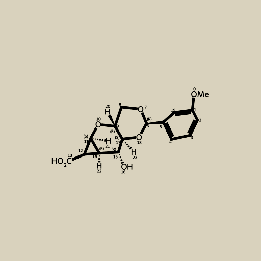 COc1cccc([C@@H]2OC[C@H]3O[C@@H]4C(C(=O)O)[C@@H]4[C@@H](O)[C@@H]3O2)c1